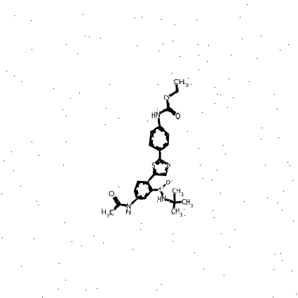 CCOC(=O)Nc1ccc(-c2ncc(-c3ccc(NC(C)=O)cc3[S+]([O-])NC(C)(C)C)s2)cc1